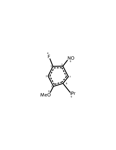 COc1cc(F)c(N=O)cc1C(C)C